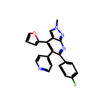 Cn1cc2c(-c3ccco3)c(-c3ccncc3)c(-c3ccc(F)cc3)nc2n1